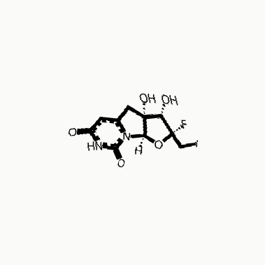 O=c1cc2n(c(=O)[nH]1)[C@@H]1O[C@](F)(CI)[C@@H](O)[C@]1(O)C2